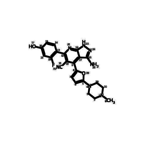 CN1CCN(c2ccc(-c3c(C#N)c(-c4ccc(O)cc4F)nc4[nH]nc(N)c34)o2)CC1